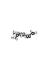 Cn1c(CN2CCC(c3ccc4ccn(Cc5ccc(Cl)cc5F)c4n3)CC2)nc2c(OC(F)F)cc(C(=O)O)cc21